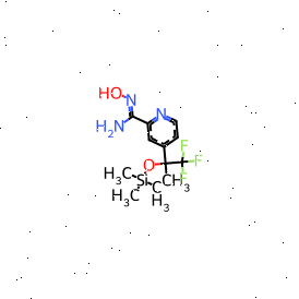 CC(O[Si](C)(C)C)(c1ccnc(C(N)=NO)c1)C(F)(F)F